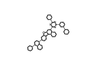 c1ccc(-c2cccc(-c3nc(-c4ccccc4)nc(-c4cc5oc6cc(-c7ccc(-c8ccccc8)c8ccccc78)ccc6c5c5ccccc45)n3)c2)cc1